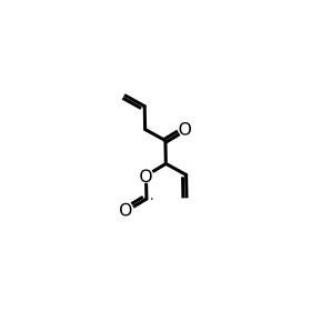 C=CCC(=O)C(C=C)O[C]=O